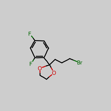 Fc1ccc(C2(CCCBr)OCCO2)c(F)c1